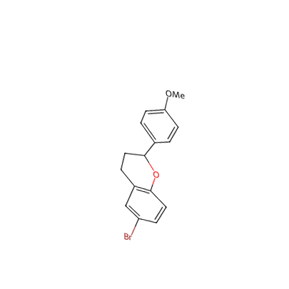 COc1ccc(C2CCc3cc(Br)ccc3O2)cc1